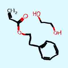 C=CC(=O)OCCc1ccccc1.OCCO